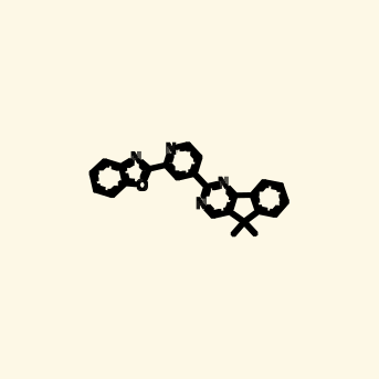 CC1(C)c2ccccc2-c2nc(-c3ccnc(-c4nc5ccccc5o4)c3)ncc21